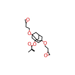 C=C(C)C(=O)OC12CC3CC(OCCC4CO4)(CC(OCCC4CO4)(C3)C1)C2